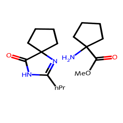 CCCC1=NC2(CCCC2)C(=O)N1.COC(=O)C1(N)CCCC1